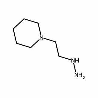 NNCCN1CCCCC1